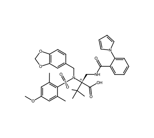 COc1cc(C)c(S(=O)(=O)N(Cc2ccc3c(c2)OCO3)[C@](CNC(=O)c2ccccc2-n2cccc2)(C(=O)O)C(C)(C)C)c(C)c1